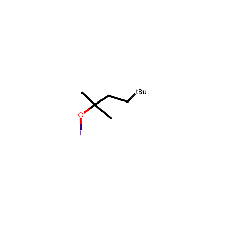 CC(C)(C)CCC(C)(C)OI